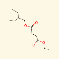 CCOC(=O)CCC(=O)OCC(CC)CC